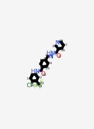 O=C(N/N=C/c1ccc(C(=O)Nc2ccc(Cl)c(C(F)(F)F)c2)cc1)c1cccnc1